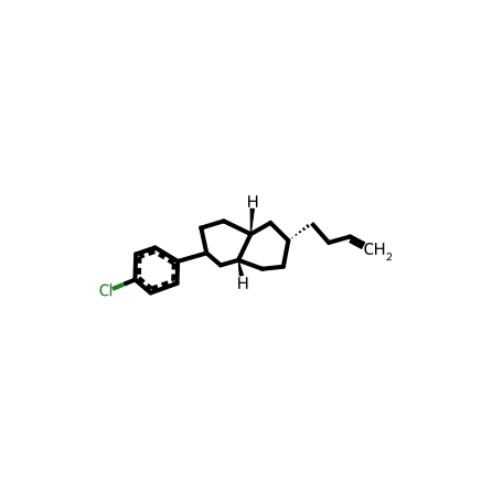 C=CCC[C@@H]1CC[C@@H]2CC(c3ccc(Cl)cc3)CC[C@@H]2C1